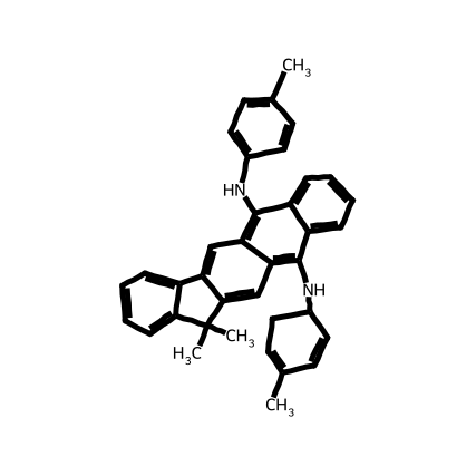 CC1=CCC(Nc2c3ccccc3c(Nc3ccc(C)cc3)c3cc4c(cc23)C(C)(C)c2ccccc2-4)C=C1